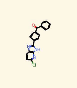 O=C(c1ccccc1)c1ccc(-c2nc3ccc(Cl)nc3[nH]2)cc1